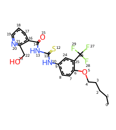 CCCCCOc1ccc(NC(=S)NC(=O)c2cccnc2CO)cc1C(F)(F)F